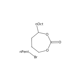 CCCCCBr.CCCCCCCCC1CCCOC(=O)O1